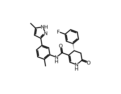 Cc1cc(-c2ccc(C)c(NC(=O)C3=CNC(=O)C[C@H]3c3cccc(F)c3)c2)n[nH]1